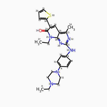 CCN1CCN(c2ccc(Nc3nc(C)c4cc(-c5cccs5)c(=O)n(CC)c4n3)cc2)CC1